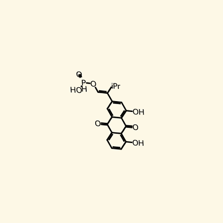 CC(C)C(=CO[PH](=O)O)c1cc(O)c2c(c1)C(=O)c1cccc(O)c1C2=O